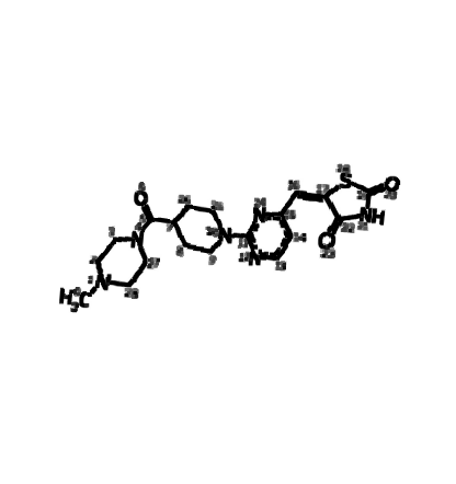 CN1CCN(C(=O)C2CCN(c3nccc(/C=C4/SC(=O)NC4=O)n3)CC2)CC1